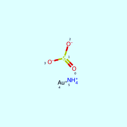 O=S([O-])[O-].[Au+].[NH4+]